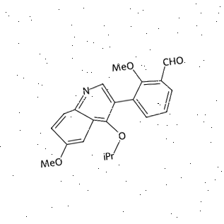 COc1ccc2ncc(-c3cccc(C=O)c3OC)c(OC(C)C)c2c1